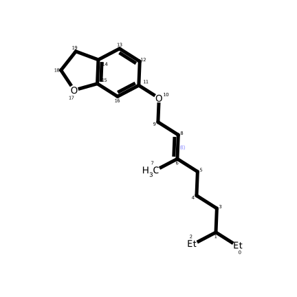 CCC(CC)CCC/C(C)=C/COc1ccc2c(c1)OCC2